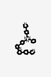 c1ccc(-c2nc(-c3ccc(-c4ccncc4)cc3)nc(-c3ccc(-c4cccc5c4sc4c(-c6ccc(-c7cccnc7)cc6)cccc45)cc3)n2)cc1